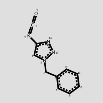 O=C=Nc1cn(Cc2ccccc2)nn1